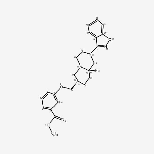 COC(=O)c1cccc(OC[C@@H]2CC[C@H]3CN(c4noc5ccccc45)CCN3C2)n1